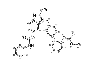 CCCCc1nc2ccc(NC(=O)Nc3ccccc3)cc2n1Cc1ccc(-c2ccccc2OC(=O)OC(C)(C)C)cc1